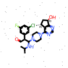 CC(C)NC(C(C=O)c1cc(F)cc(Cl)c1)N1CCN(c2ncnc3c2[C@H](C)C[C@H]3O)CC1